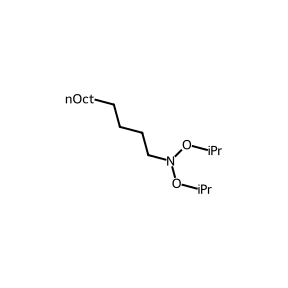 CCCCCCCCCCCCN(OC(C)C)OC(C)C